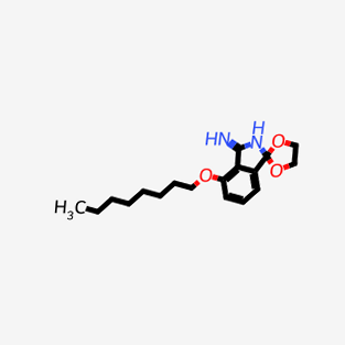 CCCCCCCCOc1cccc2c1C(=N)NC21OCCO1